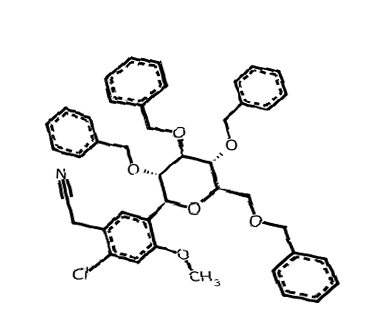 COc1cc(Cl)c(CC#N)cc1[C@@H]1O[C@H](COCc2ccccc2)[C@@H](OCc2ccccc2)[C@H](OCc2ccccc2)[C@H]1OCc1ccccc1